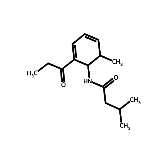 CCC(=O)C1=CC=CC(C)C1NC(=O)CC(C)C